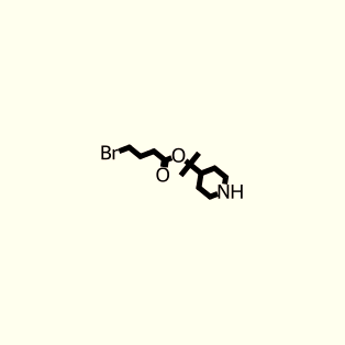 CC(C)(OC(=O)CCCBr)C1CCNCC1